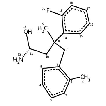 Cc1ccccc1CC(C)(C[C@H](N)O)c1ccccc1F